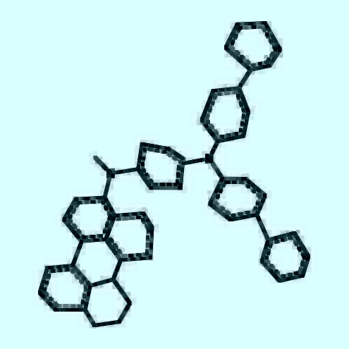 CN(c1ccc(N(c2ccc(-c3ccccc3)cc2)c2ccc(-c3ccccc3)cc2)cc1)c1ccc2c3c(cccc13)C1CCCc3cccc-2c31